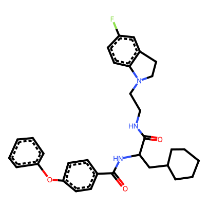 O=C(NC(CC1CCCCC1)C(=O)NCCN1CCc2cc(F)ccc21)c1ccc(Oc2ccccc2)cc1